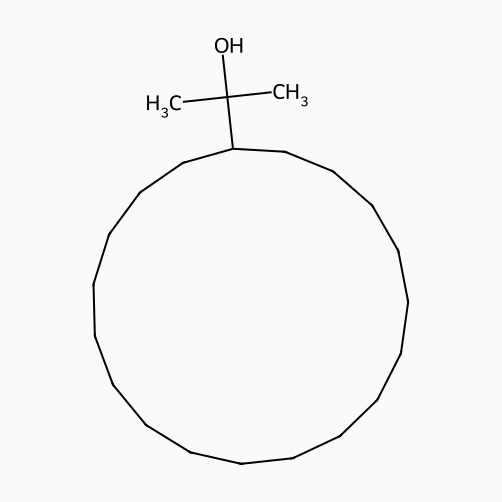 CC(C)(O)C1CCCCCCCCCCCCCCCCCC1